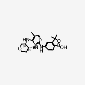 Cc1cnc(Nc2ccc3c(c2)C(C)(C)OB3O)nc1N[C@@H]1COCC[C@H]1C#N